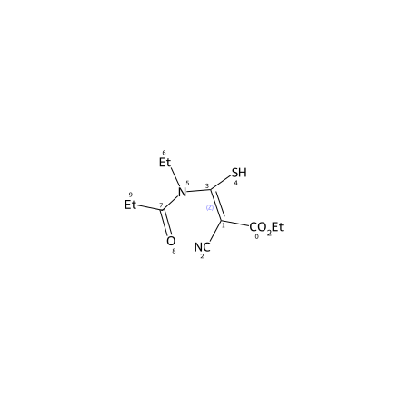 CCOC(=O)/C(C#N)=C(\S)N(CC)C(=O)CC